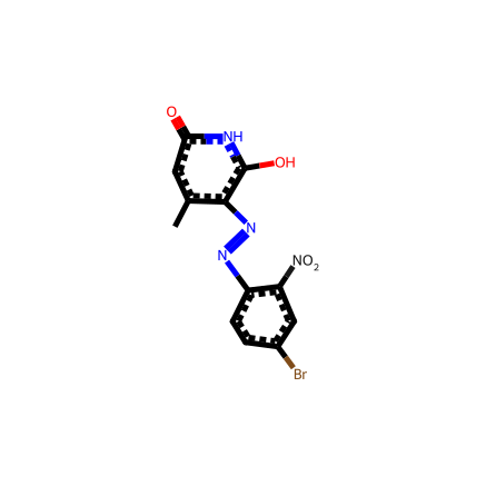 Cc1cc(=O)[nH]c(O)c1N=Nc1ccc(Br)cc1[N+](=O)[O-]